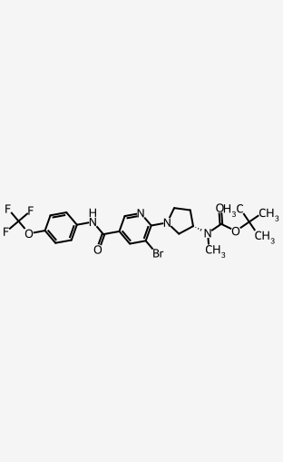 CN(C(=O)OC(C)(C)C)[C@H]1CCN(c2ncc(C(=O)Nc3ccc(OC(F)(F)F)cc3)cc2Br)C1